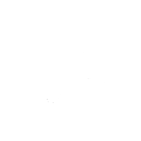 CC=Cc1[c]c(C=CC)c(C=CC)c(C=CC)c1C=CC